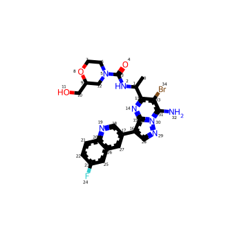 CC(NC(=O)N1CCOC(CO)C1)c1nc2c(-c3cnc4ccc(F)cc4c3)cnn2c(N)c1Br